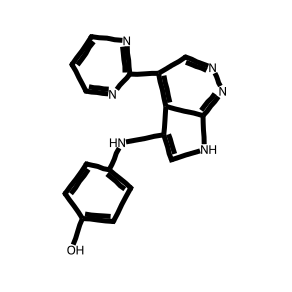 Oc1ccc(Nc2c[nH]c3nncc(-c4ncccn4)c23)cc1